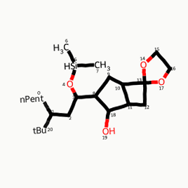 CCCCCC(CC(O[SiH](C)C)C1CC2C(CC23OCCO3)C1O)C(C)(C)C